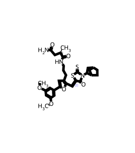 COc1cc(OC)cc(-c2cc(CCCNC(=O)[C@@H](C)CC(N)=O)c(/C=C3\SC(=S)N(C4CC5CCC4C5)C3=O)o2)c1